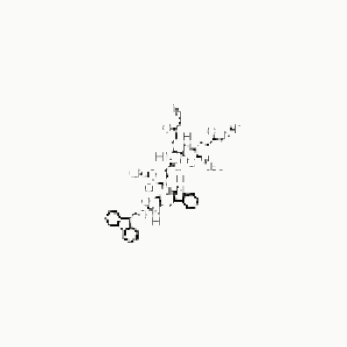 CC(C)(C)OC(=O)[C@H](CCC(=O)C=[N+]=[N-])NC(=O)[C@H](CCC(=O)C=[N+]=[N-])NC(=O)CC[C@H](NC(=O)[C@H](Cc1c[nH]c2ccccc12)NC(=O)OCC1c2ccccc2-c2ccccc21)C(=O)OC(C)(C)C